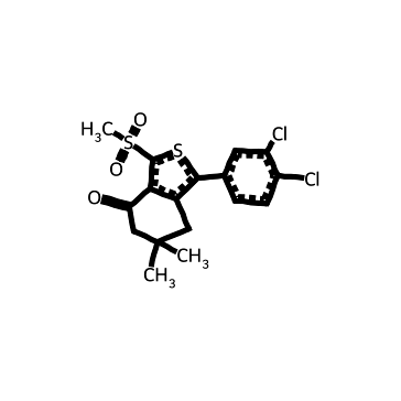 CC1(C)CC(=O)c2c(S(C)(=O)=O)sc(-c3ccc(Cl)c(Cl)c3)c2C1